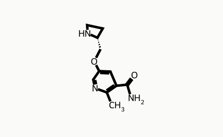 Cc1ncc(OC[C@H]2CCN2)cc1C(N)=O